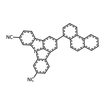 N#Cc1ccc2c3cc(-c4cccc5c4ccc4ccccc45)cc4c5ccc(C#N)cc5n(c2c1)c34